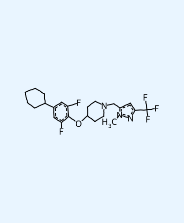 Cn1nc(C(F)(F)F)cc1CN1CCC(Oc2c(F)cc(C3CCCCC3)cc2F)CC1